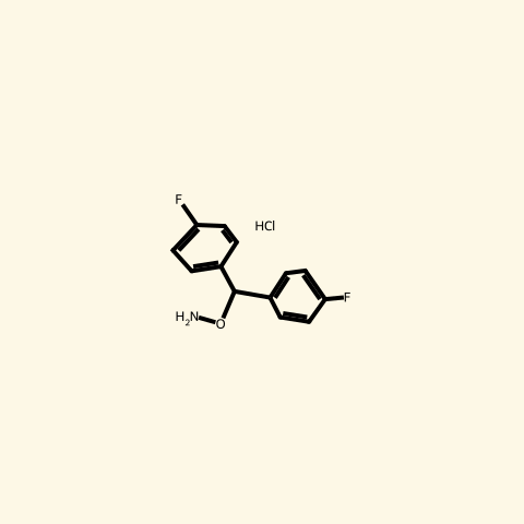 Cl.NOC(c1ccc(F)cc1)c1ccc(F)cc1